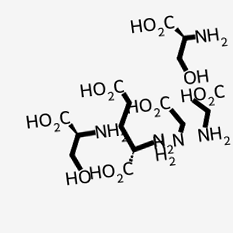 NCC(=O)O.NCC(=O)O.N[C@@H](CCC(=O)O)C(=O)O.N[C@@H](CO)C(=O)O.N[C@@H](CO)C(=O)O